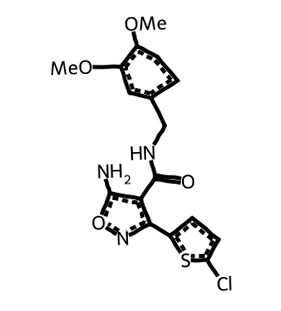 COc1ccc(CNC(=O)c2c(-c3ccc(Cl)s3)noc2N)cc1OC